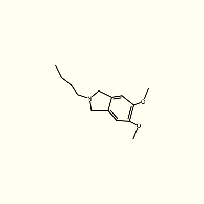 CCCCN1Cc2cc(OC)c(OC)cc2C1